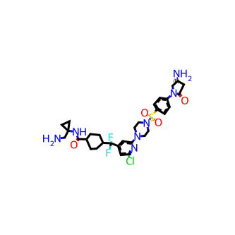 NCC1(NC(=O)C2CCC(C(F)(F)c3cc(Cl)nc(N4CCN(S(=O)(=O)c5ccc(N6C[C@H](N)CC6=O)cc5)CC4)c3)CC2)CC1